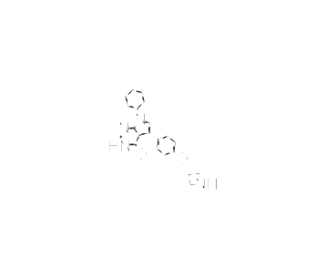 O=c1[nH]cnc2c1c(-c1ccc(OCC3CNC3)cc1)cn2-c1ccccc1